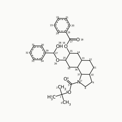 CC(C)(C)OC(=O)N1CCC2CCC3CC(OC(=O)c4ccccc4)C(OC(O)c4ccccc4)CC3C21